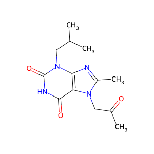 CC(=O)Cn1c(C)nc2c1c(=O)[nH]c(=O)n2CC(C)C